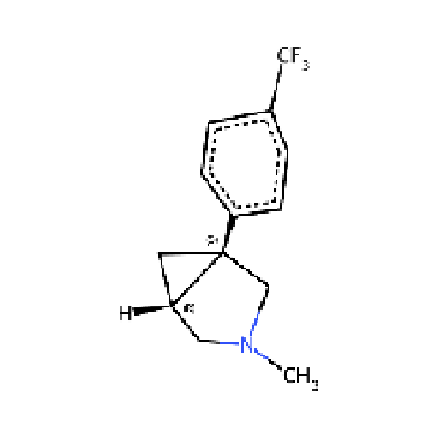 CN1C[C@@H]2C[C@]2(c2ccc(C(F)(F)F)cc2)C1